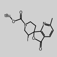 Cc1ccc2c(n1)C1(CCN(C(=O)OC(C)(C)C)CC1I)OC2=O